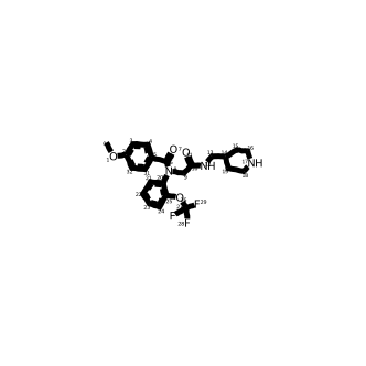 COc1ccc(C(=O)N(CC(=O)NCC2CCNCC2)c2ccccc2OC(F)(F)F)cc1